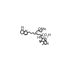 CO[C@H](CF)CN(CCCCc1ccc2c(n1)NCCC2)CC[C@H](NC(=O)C1(c2c(C)cncc2Cl)CC1)C(=O)O